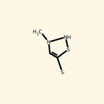 CN1C=C([S])SN1